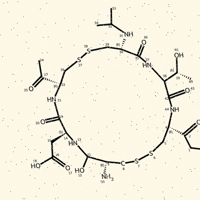 CCC(=O)[C@@H]1CSSC[C@H](N)C(O)N[C@@H](CC(=O)O)C(=O)N[C@H](C(C)=O)CSSC[C@H](NC(C)C)C(=O)NC([C@@H](C)O)C(=O)N1